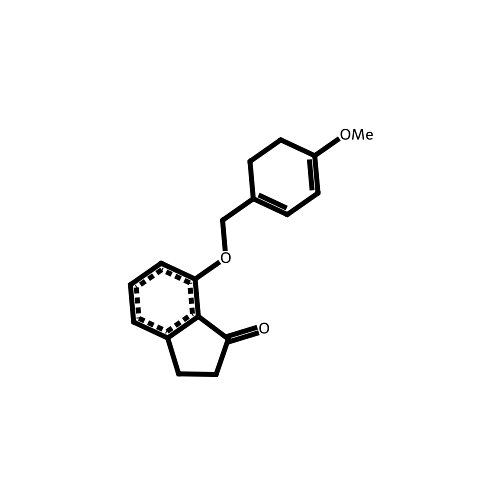 COC1=CC=C(COc2cccc3c2C(=O)CC3)CC1